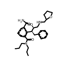 CCCN(CCC)C(=O)c1cccc(C(N)=O)c1[C@H](Cc1ccccc1)[C@@H](O)CNCC1CCCO1